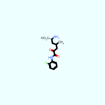 CC(CC(=O)C(=O)Nc1ccccc1F)C[C@@H](N)C(=O)O